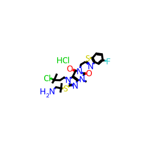 Cl.Cn1c(=O)n(Cc2nc3cc(F)ccc3s2)c(=O)c2c1nc(SC(C)(C)CN)n2CCC(C)(C)Cl